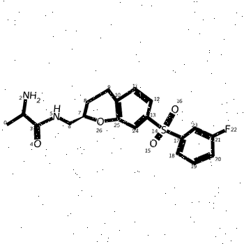 CC(N)C(=O)NC[C@H]1CCc2ccc(S(=O)(=O)c3cccc(F)c3)cc2O1